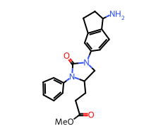 COC(=O)CCC1CN(c2ccc3c(c2)CCC3N)C(=O)N1c1ccccc1